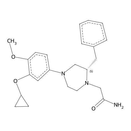 COc1ccc(N2CCN(CC(N)=O)[C@@H](Cc3ccccc3)C2)cc1OC1CC1